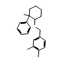 Cc1ccc(COC2CCCCC2(N)c2ccccc2)cc1C